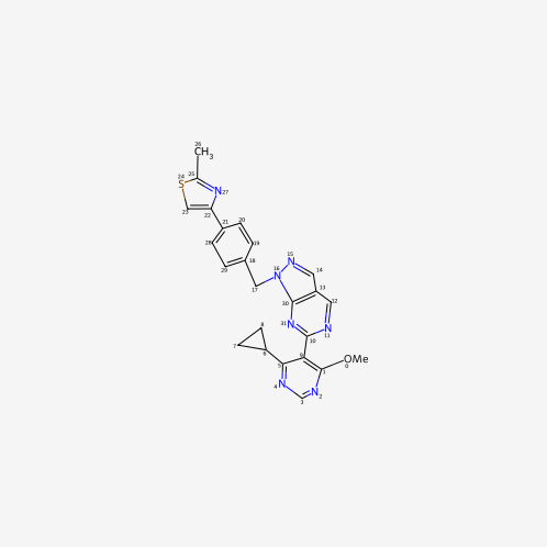 COc1ncnc(C2CC2)c1-c1ncc2cnn(Cc3ccc(-c4csc(C)n4)cc3)c2n1